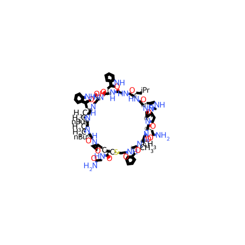 CCCC[C@H]1C(=O)NC2(CC2)C(=O)C[C@H](C(=O)NCC(N)=O)CSCC(=O)N[C@@H](Cc2ccccc2)C(=O)N(C)[C@@H](C)C(=O)N[C@@H](CC(N)=O)C(=O)N2CCC[C@H]2C(=O)N[C@@H](Cc2c[nH]cn2)C(=O)N[C@@H](CCC(C)C)C(=O)NCC(=O)N[C@@H](Cc2c[nH]c3ccccc23)C(=O)N[C@@H](CO)C(=O)N[C@@H](Cc2c[nH]c3ccccc23)C(C)N(C)[C@@H](CCCC)C(C)N1C